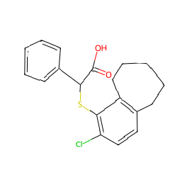 O=C(O)C(Sc1c(Cl)ccc2c1CCCCC2)c1ccccc1